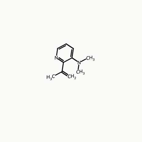 C=C(C)c1ncccc1N(C)C